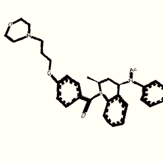 CC(=O)N(c1ccc(Cl)cc1)[C@@H]1C[C@H](C)N(C(=O)c2ccc(OCCCN3CCOCC3)cc2)c2ccccc21